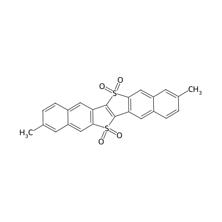 Cc1ccc2cc3c(cc2c1)S(=O)(=O)C1=C3S(=O)(=O)c2cc3cc(C)ccc3cc21